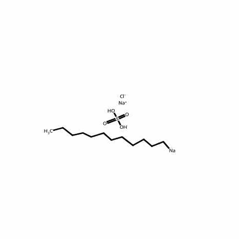 CCCCCCCCCCC[CH2][Na].O=S(=O)(O)O.[Cl-].[Na+]